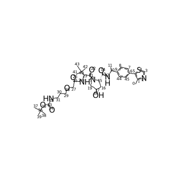 Cc1ncsc1-c1ccc(C(C)NC(=O)[C@@H]2C[C@@H](O)CN2C(=O)C(NC(=O)COCCCNC(=O)OC(C)(C)C)C(C)(C)C)cc1